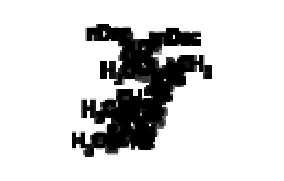 CCCCCCCCCCCCOc1cc(-n2c3cc(C)sc3c3sc(-c4ccc(-c5c6nsnc6c(-c6ccc(C)s6)c6nc(C)c(C)nc56)s4)cc32)cc(C)c1OCCCCCCCCCCCC